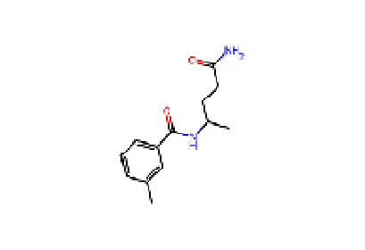 Cc1cccc(C(=O)NC(C)CCC(N)=O)c1